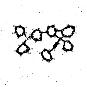 C(#CC1(c2ccccc2)c2ccccc2-c2ccc(-c3ccc(N(c4ccccc4)c4ccccc4)cc3)cc21)c1ccccc1